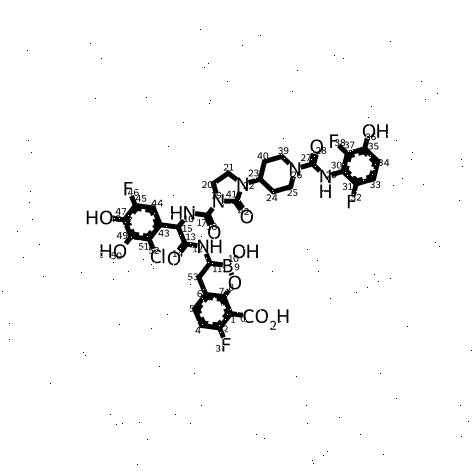 O=C(O)c1c(F)ccc2c1OB(O)C(NC(=O)C(NC(=O)N1CCN(C3CCN(C(=O)Nc4c(F)ccc(O)c4F)CC3)C1=O)c1cc(F)c(O)c(O)c1Cl)C2